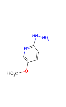 NNc1ccc(OC(=O)O)cn1